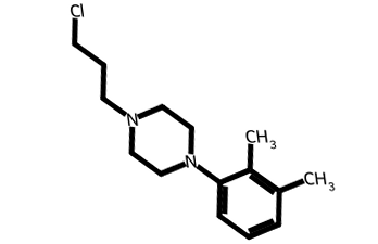 Cc1cccc(N2CCN(CCCCl)CC2)c1C